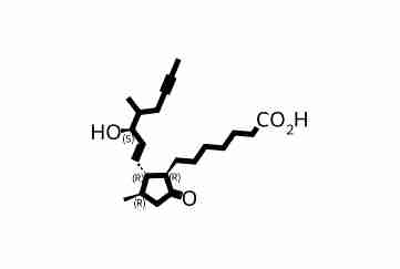 CC#CCC(C)[C@H](O)C=C[C@H]1[C@H](C)CC(=O)[C@@H]1CCCCCCC(=O)O